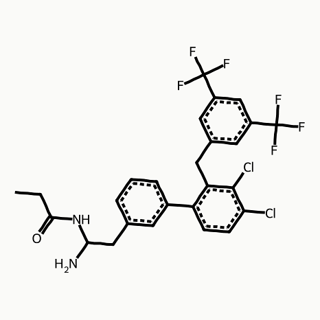 CCC(=O)NC(N)Cc1cccc(-c2ccc(Cl)c(Cl)c2Cc2cc(C(F)(F)F)cc(C(F)(F)F)c2)c1